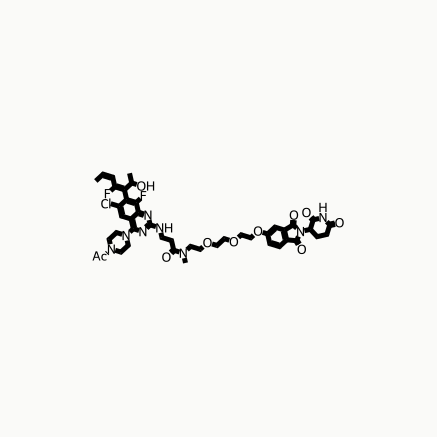 C/C=C\C(F)=C(\c1c(Cl)cc2c(N3CCN(C(C)=O)CC3)nc(NCCC(=O)N(C)CCOCCOCCOc3ccc4c(c3)C(=O)N(C3CCC(=O)NC3=O)C4=O)nc2c1F)C(C)O